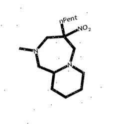 CCCCCC1([N+](=O)[O-])CN(C)CC2CCCCN2C1